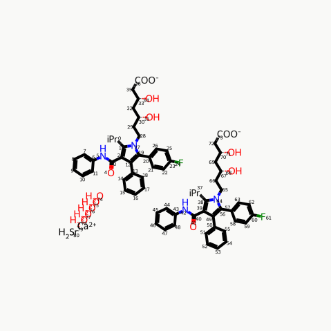 CC(C)c1c(C(=O)Nc2ccccc2)c(-c2ccccc2)c(-c2ccc(F)cc2)n1CC[C@@H](O)C[C@@H](O)CC(=O)[O-].CC(C)c1c(C(=O)Nc2ccccc2)c(-c2ccccc2)c(-c2ccc(F)cc2)n1CC[C@@H](O)C[C@@H](O)CC(=O)[O-].O.O.O.O.O.[Ca+2].[SrH2]